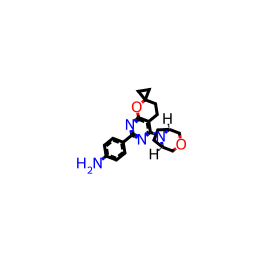 Nc1ccc(-c2nc3c(c(N4[C@@H]5CC[C@H]4COC5)n2)CCC2(CC2)O3)cc1